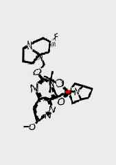 COc1cc2nc(OC[C@@]34CCCN3C[C@H](F)C4)nc(N3CC4CCC(C3)N4C(=O)OC(C)(C)C)c2nn1